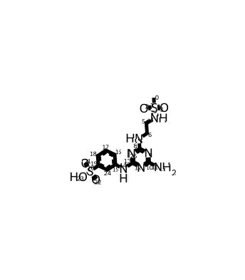 CS(=O)(=O)NCCNc1nc(N)nc(Nc2cccc(S(=O)(=O)O)c2)n1